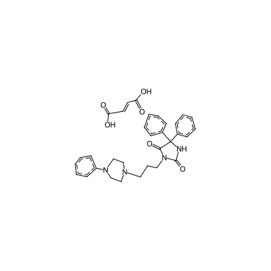 O=C(O)C=CC(=O)O.O=C1NC(c2ccccc2)(c2ccccc2)C(=O)N1CCCN1CCN(c2ccccc2)CC1